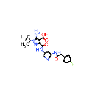 CC(C)n1nc(C(=O)Nc2cncc(NC(=O)Cc3ccc(F)cc3)c2)c(C(=O)O)c1N